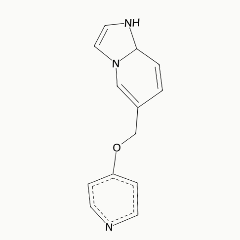 C1=CN2C=C(COc3ccncc3)C=CC2N1